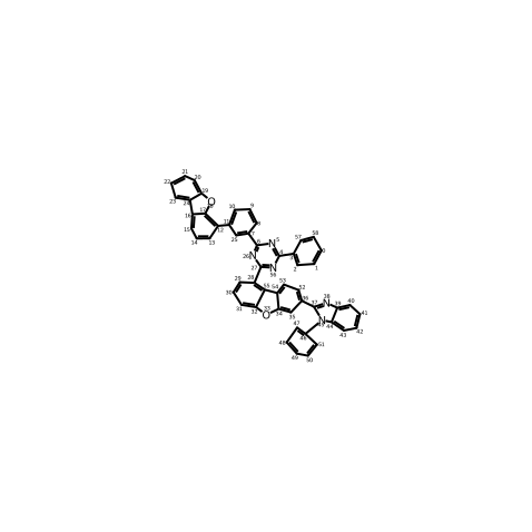 c1ccc(-c2nc(-c3cccc(-c4cccc5c4oc4ccccc45)c3)nc(-c3cccc4oc5cc(-c6nc7ccccc7n6-c6ccccc6)ccc5c34)n2)cc1